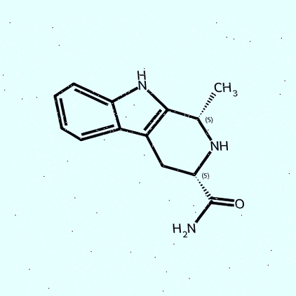 C[C@@H]1N[C@H](C(N)=O)Cc2c1[nH]c1ccccc21